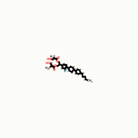 C=C(CO)C(=O)OCC(COC(=O)C(=C)CO)c1ccc(C2CCC(C3CCC(CCCCC)CC3)CC2)c(F)c1